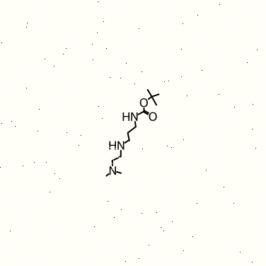 CN(C)CCNCCCNC(=O)OC(C)(C)C